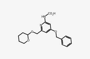 O=C(O)Nc1cc(OCc2ccccc2)cc(COC2CCCCO2)n1